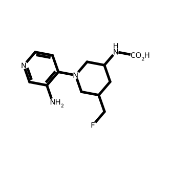 Nc1cnccc1N1CC(CF)CC(NC(=O)O)C1